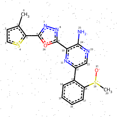 Cc1ccsc1-c1nnc(-c2nc(-c3ccccc3[S+](C)[O-])cnc2N)o1